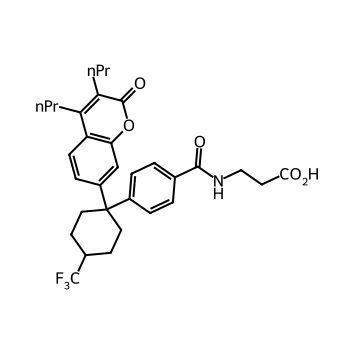 CCCc1c(CCC)c2ccc(C3(c4ccc(C(=O)NCCC(=O)O)cc4)CCC(C(F)(F)F)CC3)cc2oc1=O